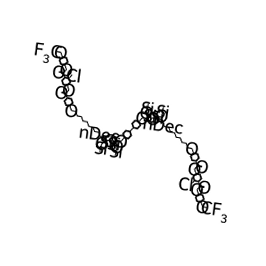 CCCCCCCCCCC(Oc1ccc(-c2ccc(OC(CCCCCCCCCC)[Si](C)(O[Si](C)(C)C)O[Si](C)(CCCCCCCCCCCOc3ccc(C(=O)Oc4ccc(C(=O)Oc5ccc(OC(F)(F)F)cc5)c(Cl)c4)cc3)O[Si](C)(C)C)cc2)cc1)[Si](C)(O[Si](C)(C)C)O[Si](C)(CCCCCCCCCCCOc1ccc(C(=O)Oc2ccc(C(=O)Oc3ccc(OC(F)(F)F)cc3)c(Cl)c2)cc1)O[Si](C)(C)C